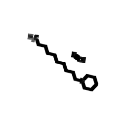 C#N.CCCCCCCCCCN1CCCCC1